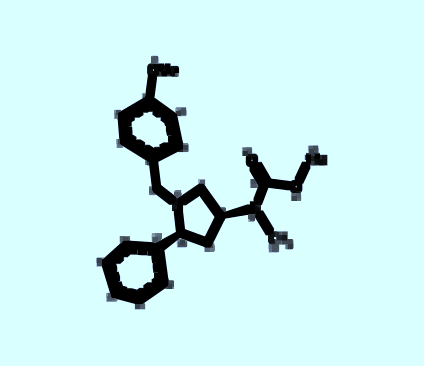 COc1ccc(CN2C[C@@H](N(C)C(=O)OC(C)(C)C)C[C@H]2c2ccccc2)cc1